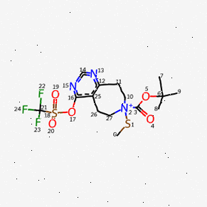 CS[N+]1(C(=O)OC(C)(C)C)CCc2ncnc(OS(=O)(=O)C(F)(F)F)c2CC1